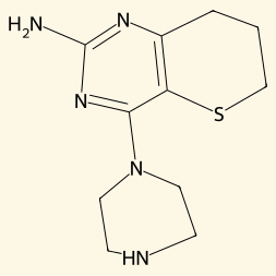 Nc1nc2c(c(N3CCNCC3)n1)SCCC2